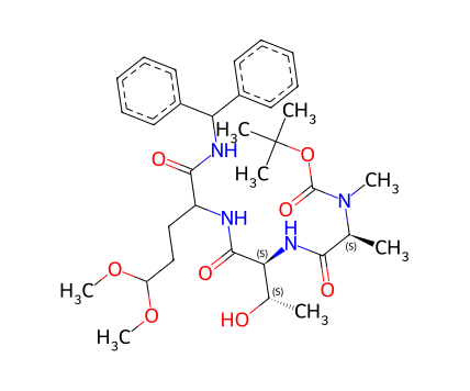 COC(CCC(NC(=O)[C@@H](NC(=O)[C@H](C)N(C)C(=O)OC(C)(C)C)[C@H](C)O)C(=O)NC(c1ccccc1)c1ccccc1)OC